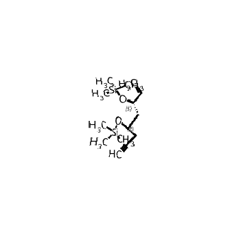 C#CC[C@H](C[C@@H](C=C)O[Si](C)(C)C)O[Si](C)(C)C